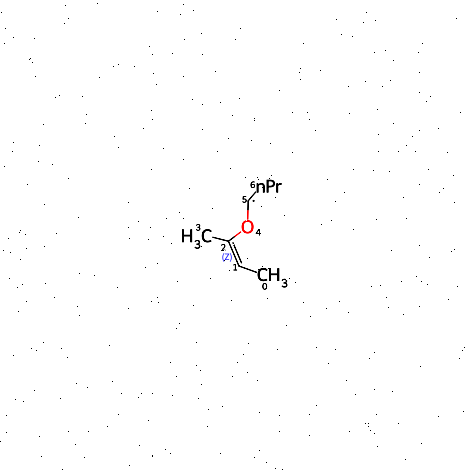 C/C=C(/C)O[CH]CCC